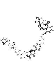 O=C(/C=C/c1cccnc1)NCCCCC1CCN(C(=O)c2ccc(N3CCN(CCCCC#Cc4cccc5c4C(=O)N(C4CCC(=O)NC4=O)C5=O)CC3)nn2)CC1